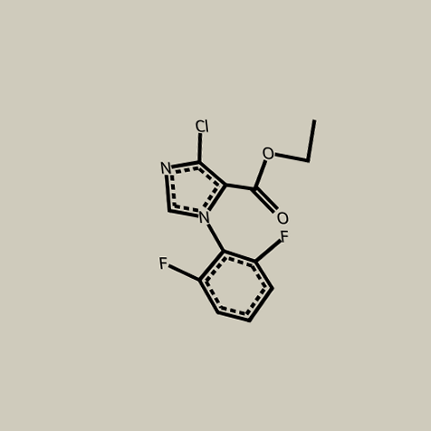 CCOC(=O)c1c(Cl)ncn1-c1c(F)cccc1F